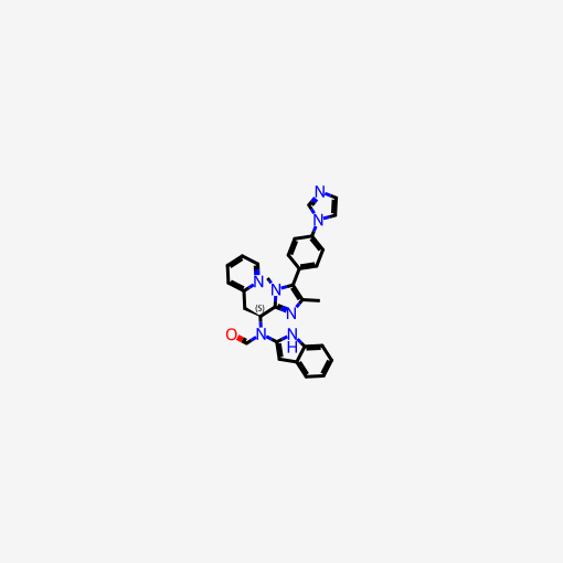 Cc1nc([C@H](Cc2ccccn2)N(C=O)c2cc3ccccc3[nH]2)n(C)c1-c1ccc(-n2ccnc2)cc1